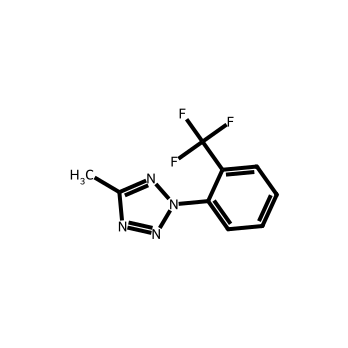 Cc1nnn(-c2ccccc2C(F)(F)F)n1